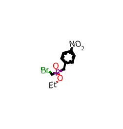 CCOP(=O)(CBr)Cc1ccc([N+](=O)[O-])cc1